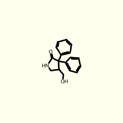 O=C1NCC(CO)C1(c1ccccc1)c1ccccc1